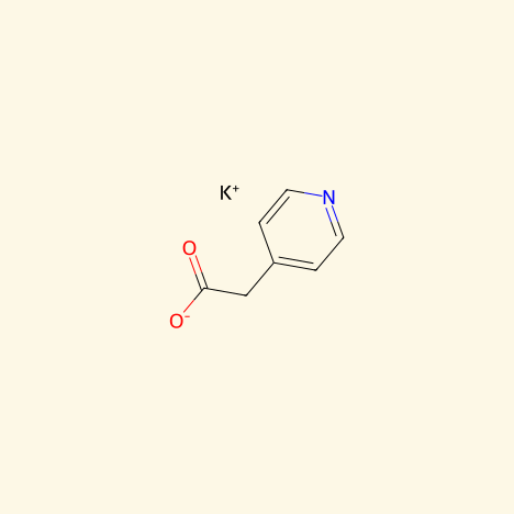 O=C([O-])Cc1ccncc1.[K+]